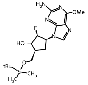 COc1nc(N)nc2c1ncn2[C@H]1C[C@@H](CO[Si](C)(C)C(C)(C)C)[C@H](O)[C@H]1F